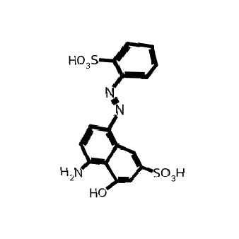 Nc1ccc(N=Nc2ccccc2S(=O)(=O)O)c2cc(S(=O)(=O)O)cc(O)c12